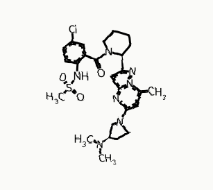 Cc1cc(N2CC[C@@H](N(C)C)C2)nc2cc([C@@H]3CCCCN3C(=O)c3cc(Cl)ccc3NS(C)(=O)=O)nn12